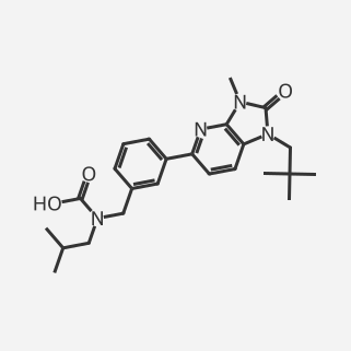 CC(C)CN(Cc1cccc(-c2ccc3c(n2)n(C)c(=O)n3CC(C)(C)C)c1)C(=O)O